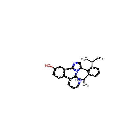 CC(C)c1cccc(C(C)C)c1-c1cnc2c3cc(O)ccc3c3cccnc3n12